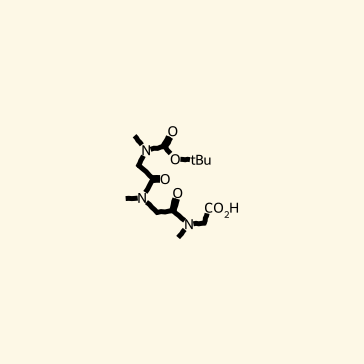 CN(CC(=O)O)C(=O)CN(C)C(=O)CN(C)C(=O)OC(C)(C)C